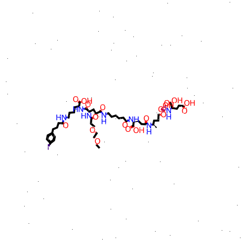 CCOCCOCCC(=O)NC(CCC(=O)NCCCCCC(=O)N[C@@H](CCC(=O)N[C@H](C)CCCOP(=O)(O)NC(CCC(=O)O)C(=O)O)C(=O)O)C(=O)NC(CCCCNC(=O)CCCc1ccc(I)cc1)C(=O)O